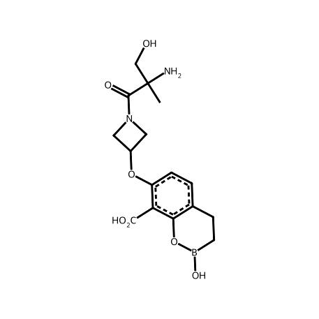 CC(N)(CO)C(=O)N1CC(Oc2ccc3c(c2C(=O)O)OB(O)CC3)C1